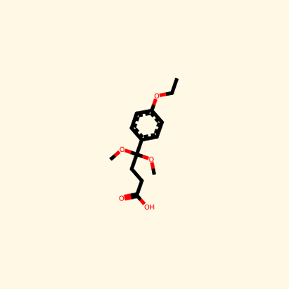 CCOc1ccc(C(CCC(=O)O)(OC)OC)cc1